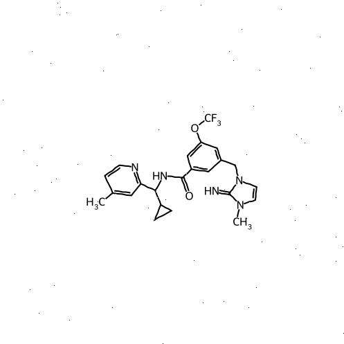 Cc1ccnc(C(NC(=O)c2cc(Cn3ccn(C)c3=N)cc(OC(F)(F)F)c2)C2CC2)c1